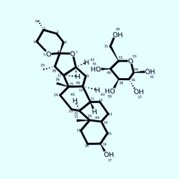 C[C@@H]1CC[C@@]2(OC1)O[C@H]1C[C@H]3[C@@H]4CCC5C[C@@H](O)CC[C@]5(C)[C@H]4CC[C@]3(C)[C@H]1[C@@H]2C.OC[C@H]1O[C@@H](O)[C@H](O)[C@@H](O)[C@H]1O